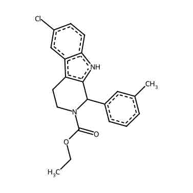 CCOC(=O)N1CCc2c([nH]c3ccc(Cl)cc23)C1c1cccc(C)c1